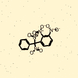 O=[N+]([O-])c1cccc(C(c2ccccc2)([N+](=O)[O-])[N+](=O)[O-])c1[N+](=O)[O-]